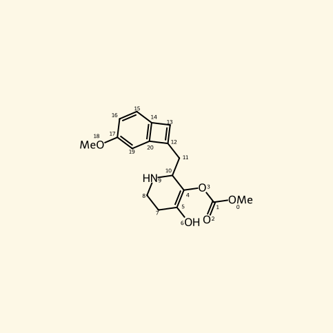 COC(=O)OC1=C(O)CCNC1CC1=Cc2ccc(OC)cc21